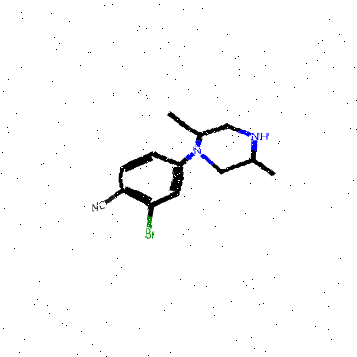 CC1CN(c2ccc(C#N)c(Br)c2)C(C)CN1